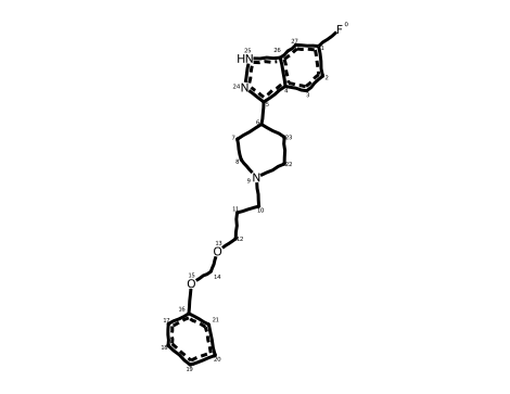 Fc1ccc2c(C3CCN(CCCOCOc4cc[c]cc4)CC3)n[nH]c2c1